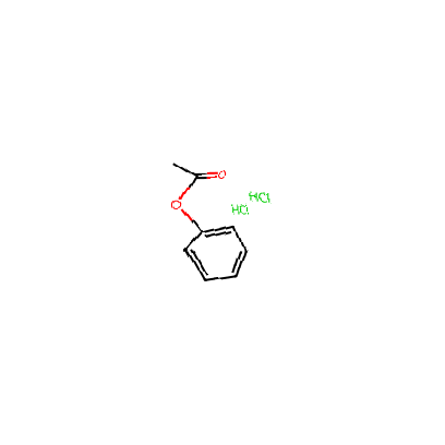 CC(=O)Oc1ccccc1.Cl.Cl